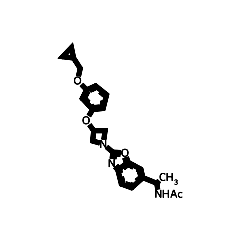 CC(=O)NC(C)c1ccc2nc(N3CC(Oc4cccc(OCC5CC5)c4)C3)oc2c1